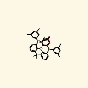 Cc1cccc(P(c2cc(C)cc(C)c2)c2cccc3c2Oc2c(P(c4cc(C)cc(C)c4)c4cc(C)cc(C)c4)cccc2C3(C)C)c1